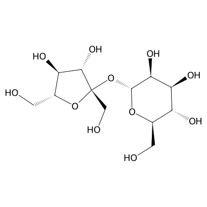 OC[C@H]1O[C@@](CO)(O[C@H]2O[C@H](CO)[C@@H](O)[C@H](O)[C@@H]2O)[C@@H](O)[C@@H]1O